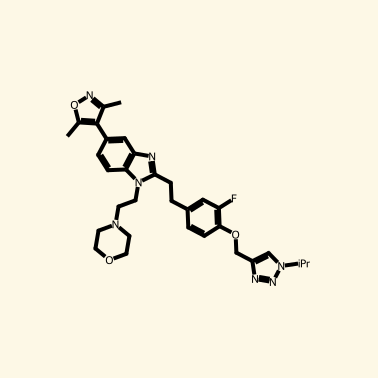 Cc1noc(C)c1-c1ccc2c(c1)nc(CCc1ccc(OCc3cn(C(C)C)nn3)c(F)c1)n2CCN1CCOCC1